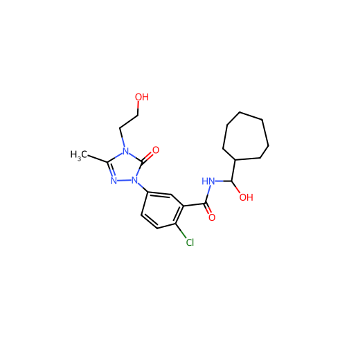 Cc1nn(-c2ccc(Cl)c(C(=O)NC(O)C3CCCCCC3)c2)c(=O)n1CCO